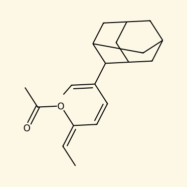 C\C=C(/C=C\C(=C/C)OC(C)=O)C1C2CC3CC(C2)CC1C3